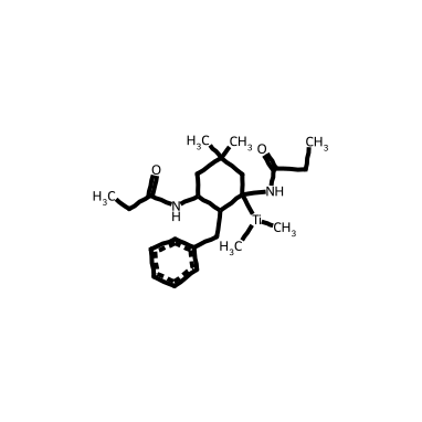 CCC(=O)NC1CC(C)(C)C[C](NC(=O)CC)([Ti]([CH3])[CH3])C1Cc1ccccc1